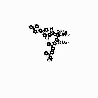 COc1cccc(-c2cc(OC)c(OC)cc2C=C2C(=O)Nc3ccc(Cl)cc32)c1.[Pd].c1ccc(P(c2ccccc2)c2ccccc2)cc1.c1ccc(P(c2ccccc2)c2ccccc2)cc1.c1ccc(P(c2ccccc2)c2ccccc2)cc1.c1ccc(P(c2ccccc2)c2ccccc2)cc1